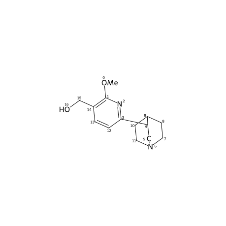 COc1nc(C2CN3CCC2CC3)ccc1CO